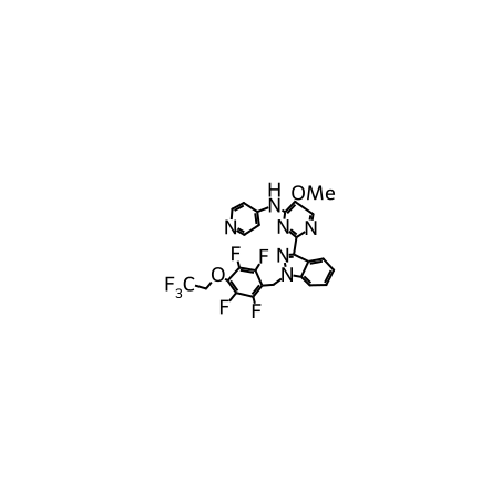 COc1cnc(-c2nn(Cc3c(F)c(F)c(OCC(F)(F)F)c(F)c3F)c3ccccc23)nc1Nc1ccncc1